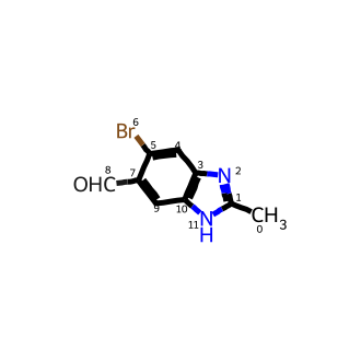 Cc1nc2cc(Br)c(C=O)cc2[nH]1